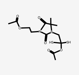 CC(=O)OCCN1C(=O)N(CC(S)(S)OC(C)=O)C(C)(C)C1=O